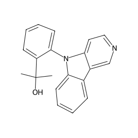 CC(C)(O)c1ccccc1-n1c2ccccc2c2cnccc21